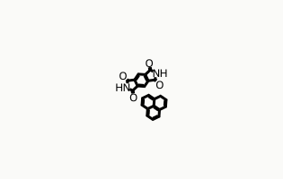 C1=Cc2cccc3cccc(c23)C1.O=c1[nH]c(=O)c2cc3c(=O)[nH]c(=O)c3cc12